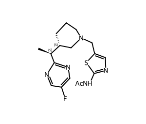 CC(=O)Nc1ncc(CN2CCC[C@@H]([C@H](C)c3ncc(F)cn3)C2)s1